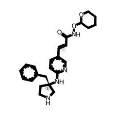 O=C(/C=C/c1ccc(N[C@@]2(Cc3ccccc3)CCNC2)nc1)NOC1CCCCO1